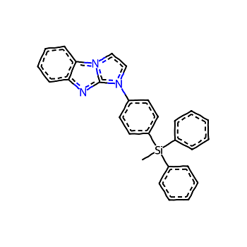 C[Si](c1ccccc1)(c1ccccc1)c1ccc(-n2ccn3c4ccccc4nc23)cc1